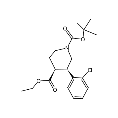 CCOC(=O)[C@H]1CCN(C(=O)OC(C)(C)C)C[C@H]1c1ccccc1Cl